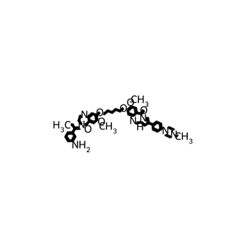 CC/C(=C\N1CC=Nc2cc(OCCCCCOc3cc4c(cc3OC)C(=O)N3C=C(c5ccc(N6CCN(C)CC6)cc5)C[C@H]3C=N4)c(OC)cc2C1=O)c1cccc(N)c1